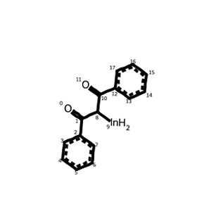 O=C(c1ccccc1)[CH]([InH2])C(=O)c1ccccc1